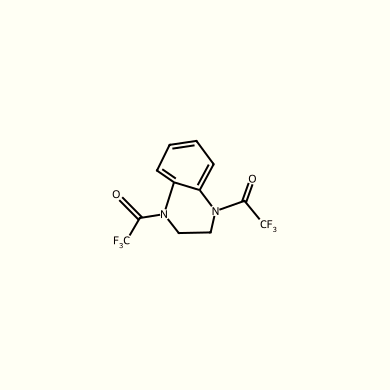 O=C(N1CCN(C(=O)C(F)(F)F)c2ccccc21)C(F)(F)F